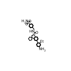 CCc1cc(N)ccc1-c1ccc2c(c1)C1(CCCC1)CN2C(=O)NCc1ccc(S(N)(=O)=O)cc1